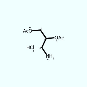 CC(=O)OCC(CN)OC(C)=O.Cl